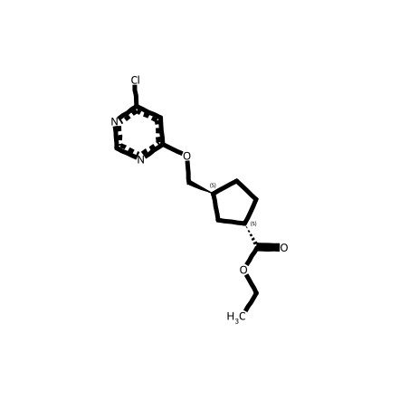 CCOC(=O)[C@H]1CC[C@H](COc2cc(Cl)ncn2)C1